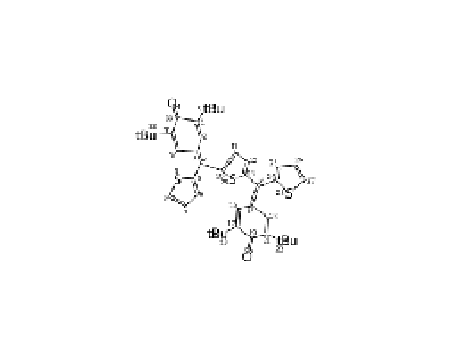 CC(C)(C)C1=CC(=C(c2cccs2)c2ccc(C(=C3C=C(C(C)(C)C)C(=O)C(C(C)(C)C)=C3)c3cccs3)s2)C=C(C(C)(C)C)C1=O